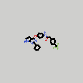 O=C(Cc1ccc(C(F)(F)F)cc1)Nc1ccc(Oc2nc(-c3ccccc3)nc3[nH]ccc23)cc1